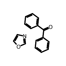 O=C(c1ccccc1)c1ccccc1.c1cocn1